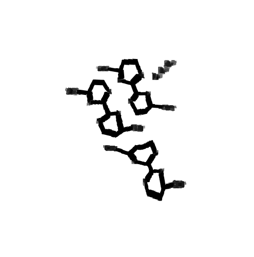 O=C([O-])c1ccnc(-c2nccc(C(=O)[O-])n2)n1.O=C([O-])c1ccnc(-c2nccc(C(=O)[O-])n2)n1.O=C([O-])c1ccnc(-c2nccc(C(=O)[O-])n2)n1.[Ru+2].[Ru+2].[Ru+2]